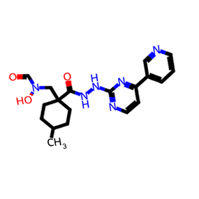 CC1CCC(CN(O)C=O)(C(=O)NNc2nccc(-c3cccnc3)n2)CC1